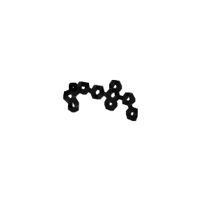 c1ccc(-c2cccc(-c3c4ccccc4c(-c4ccc(-c5ccc6oc7ccc8ccccc8c7c6c5)cc4)c4ccccc34)c2)cc1